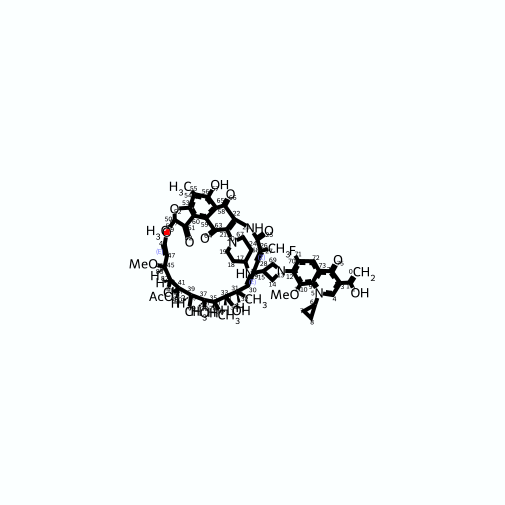 C=C(O)c1cn(C2CC2)c2c(OC)c(N3CC(NC4CCN(C5=C6NC(=O)/C(C)=C\C=C\[C@H](C)[C@H](O)[C@@H](C)[C@@H](O)[C@@H](C)[C@H](OC(C)=O)[C@H](C)[C@@H](OC)/C=C/O[C@@]7(C)Oc8c(C)c(O)c(c(c8C7=O)C5=O)C6=O)CC4)C3)c(F)cc2c1=O